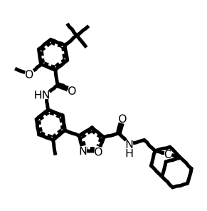 COc1ccc(C(C)(C)C)cc1C(=O)Nc1ccc(C)c(-c2cc(C(=O)NCC34CC5CCCC(C5)(C3)C4)on2)c1